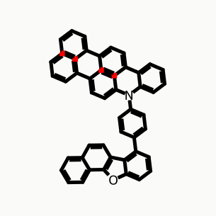 c1ccc(-c2ccc(-c3ccccc3N(c3ccc(-c4ccccc4)cc3)c3ccc(-c4cccc5oc6c7ccccc7ccc6c45)cc3)cc2)cc1